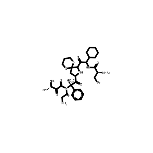 CCC[C@H](N)C(=O)C(=O)N(C(=O)CN)[C@](C(=O)O)(C(=O)C1CC2(SCCCS2)C(C(=O)C(NC(=O)[C@H](CC(C)C)NC(C)=O)C2CCCCC2)N1)c1ccccc1